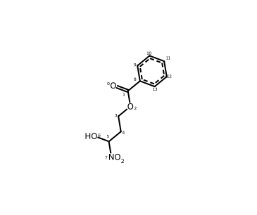 O=C(OCCC(O)[N+](=O)[O-])c1ccccc1